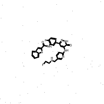 O=C(Nc1cc(-c2cc(Nc3ccc(CNCCF)cn3)c(=O)[nH]n2)ccc1F)c1cc2ccccc2s1